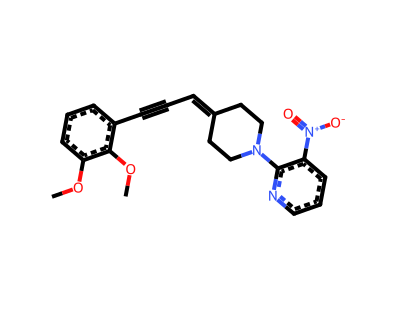 COc1cccc(C#CC=C2CCN(c3ncccc3[N+](=O)[O-])CC2)c1OC